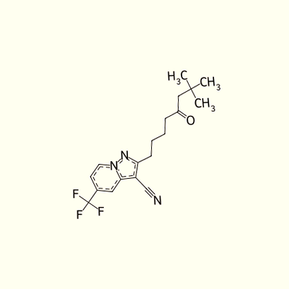 CC(C)(C)CC(=O)CCCCc1nn2ccc(C(F)(F)F)cc2c1C#N